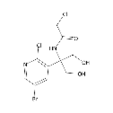 O=C(CCl)NC(CO)(CO)c1cc(Br)cnc1Cl